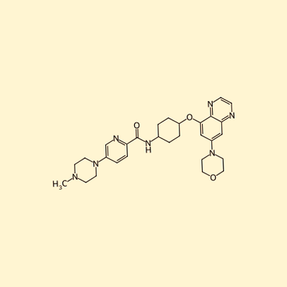 CN1CCN(c2ccc(C(=O)NC3CCC(Oc4cc(N5CCOCC5)cc5nccnc45)CC3)nc2)CC1